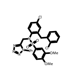 COc1ccc(S(=O)(=O)N(Cc2nnnn2C(C)C)c2ccc(Cl)cc2Cc2ccccc2Cl)cc1OC